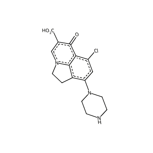 O=C(O)c1cn2c3c(c(N4CCNCC4)cc(Cl)c3c1=O)CC2